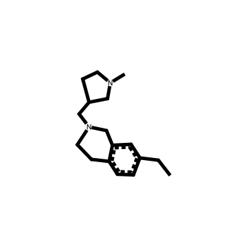 CCc1ccc2c(c1)CN(CC1CCN(C)C1)CC2